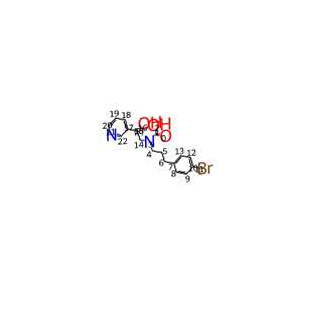 O=C(O)N(CCCc1ccc(Br)cc1)C[C@H](O)c1cccnc1